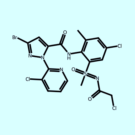 Cc1cc(Cl)cc(S(C)(=O)=NC(=O)CCl)c1NC(=O)c1cc(Br)nn1-c1ncccc1Cl